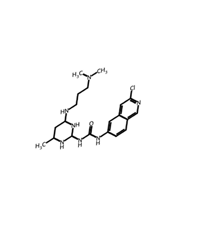 CC1CC(NCCCN(C)C)NC(NC(=O)Nc2ccc3cnc(Cl)cc3c2)N1